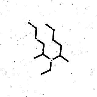 CCCCC(C)N(CC)C(C)CCCC